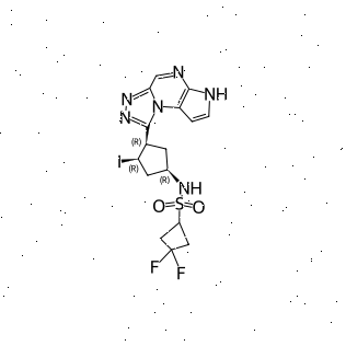 O=S(=O)(N[C@H]1C[C@@H](I)[C@@H](c2nnc3cnc4[nH]ccc4n23)C1)C1CC(F)(F)C1